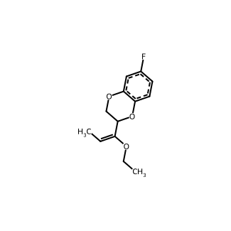 C/C=C(/OCC)C1COc2cc(F)ccc2O1